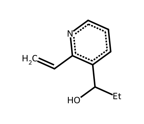 C=Cc1ncccc1C(O)CC